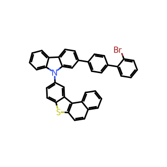 Brc1ccccc1-c1ccc(-c2ccc3c4ccccc4n(-c4ccc5sc6ccc7ccccc7c6c5c4)c3c2)cc1